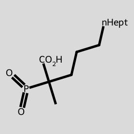 CCCCCCCCCCC(C)(C(=O)O)P(=O)=O